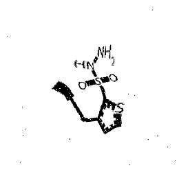 C#CCc1ccsc1S(=O)(=O)NN